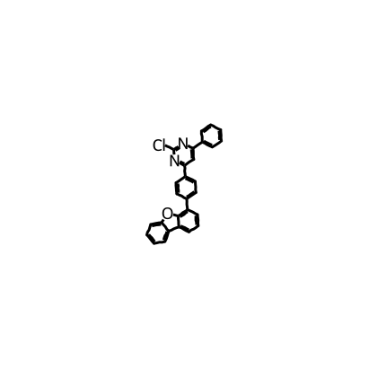 Clc1nc(-c2ccccc2)cc(-c2ccc(-c3cccc4c3oc3ccccc34)cc2)n1